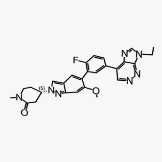 CCn1cnc2c(-c3ccc(F)c(-c4cc5cn([C@H]6CCN(C)C(=O)C6)nc5cc4OC)c3)cnnc21